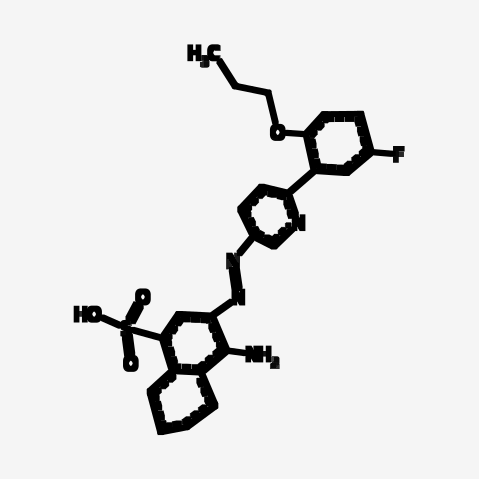 CCCOc1ccc(F)cc1-c1ccc(N=Nc2cc(S(=O)(=O)O)c3ccccc3c2N)cn1